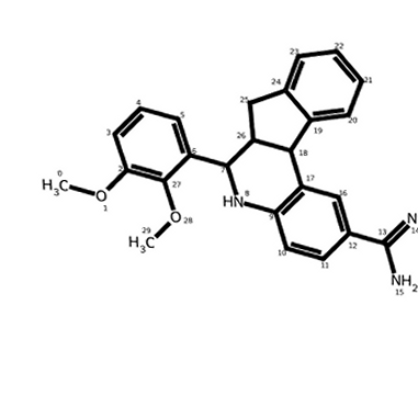 COc1cccc(C2Nc3ccc(C(=N)N)cc3C3c4ccccc4CC23)c1OC